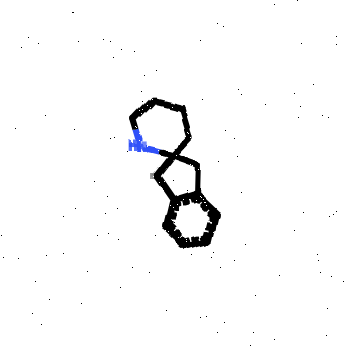 [C]1c2ccccc2CC12CCCCN2